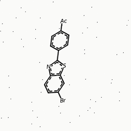 CC(=O)c1ccc(-c2nc3ccc(Br)cc3s2)cc1